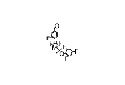 Cn1c(-c2ccc(C=O)cc2F)nnc1C(C)(C)Oc1c(F)cc(F)cc1F